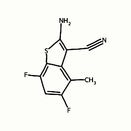 Cc1c(F)cc(F)c2sc(N)c(C#N)c12